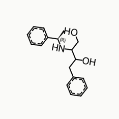 C[C@@H](NC(CO)C(O)Cc1ccccc1)c1ccccc1